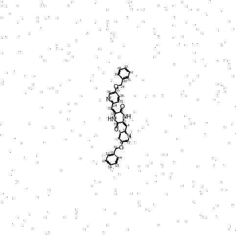 O=c1[nH]/c(=C/c2ccc(OCc3ccccc3)cn2)c(=O)[nH]/c1=C/c1ccc(OCc2ccccc2)cn1